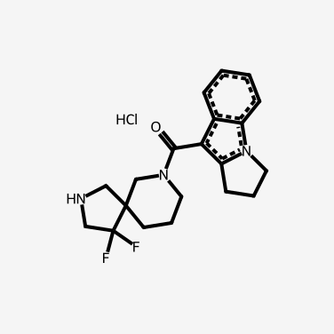 Cl.O=C(c1c2n(c3ccccc13)CCC2)N1CCCC2(CNCC2(F)F)C1